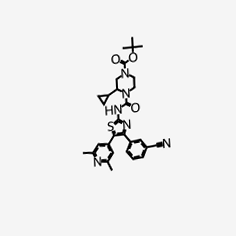 Cc1cc(-c2sc(NC(=O)N3CCN(C(=O)OC(C)(C)C)CC3C3CC3)nc2-c2cccc(C#N)c2)cc(C)n1